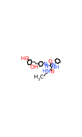 CCCCNC(=O)c1[nH]n(-c2ccccc2)c(=O)c1N=Nc1ccc(CCc2cc(O)ccc2O)cc1